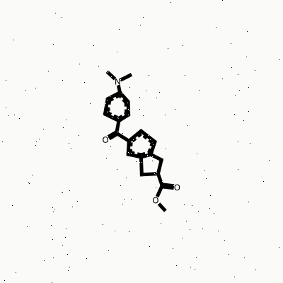 COC(=O)C1Cc2ccc(C(=O)c3ccc(N(C)C)cc3)cc2C1